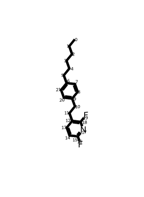 CCCCCCc1ccc(CCc2ccc(F)nc2F)cc1